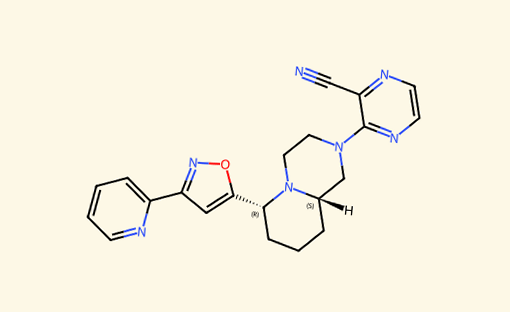 N#Cc1nccnc1N1CCN2[C@@H](CCC[C@@H]2c2cc(-c3ccccn3)no2)C1